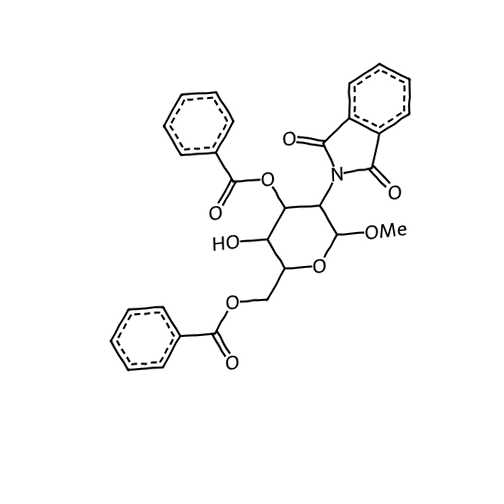 COC1OC(COC(=O)c2ccccc2)C(O)C(OC(=O)c2ccccc2)C1N1C(=O)c2ccccc2C1=O